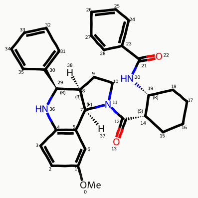 COc1ccc2c(c1)[C@H]1[C@H](CCN1C(=O)[C@H]1CCCC[C@H]1NC(=O)c1ccccc1)[C@H](c1ccccc1)N2